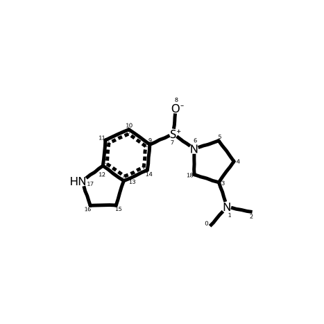 CN(C)C1CCN([S+]([O-])c2ccc3c(c2)CCN3)C1